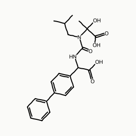 CC(C)CN(C(=O)NC(C(=O)O)c1ccc(-c2ccccc2)cc1)C(C)(O)C(=O)O